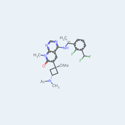 CO[C@]1(c2cc3c(N[C@H](C)c4cccc(C(F)F)c4F)ncnc3n(C)c2=O)C[C@@H](N(C)C(C)=O)C1